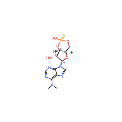 CN(C)c1ncnc2c1ncn2[C@@H]1O[C@@H]2COP(O)(=S)O[C@H]2[C@H]1O